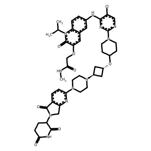 CNC(=O)COc1cc2cc(Nc3nc(N4CCC(O[C@H]5C[C@H](N6CCN(c7ccc8c(n7)CN(C7CCC(=O)NC7=O)C8=O)CC6)C5)CC4)ncc3Cl)ccc2n(C(C)C)c1=O